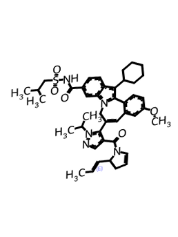 C/C=C/C1CC=CN1C(=O)c1cnn(C(C)C)c1C1=Cc2cc(OC)ccc2-c2c(C3CCCCC3)c3ccc(C(=O)NS(=O)(=O)CC(C)C)cc3n2C1